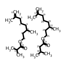 C=C(C)CCCC(C)CCOC(=O)C(C)C.C=C(C)CCCC(C)CCOC(=O)CC(C)C